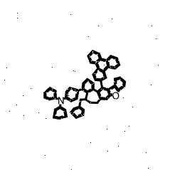 c1ccc(CC2CCc3cc4oc5ccccc5c4c(-c4ccc5c6ccccc6c6ccccc6c5c4)c3-c3cccc(-c4ccc(N(c5ccccc5)c5ccccc5)cc4)c32)cc1